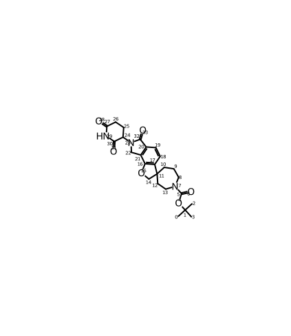 CC(C)(C)OC(=O)N1CCCC2(CC1)COc1c2ccc2c1CN(C1CCC(=O)NC1=O)C2=O